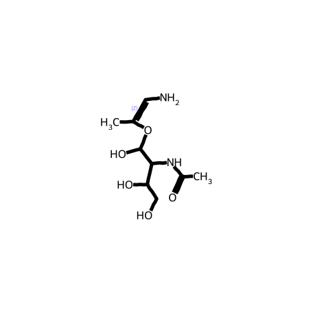 CC(=O)NC(C(O)CO)C(O)O/C(C)=C\N